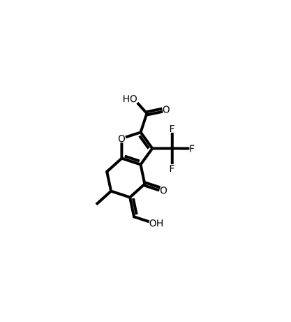 CC1Cc2oc(C(=O)O)c(C(F)(F)F)c2C(=O)C1=CO